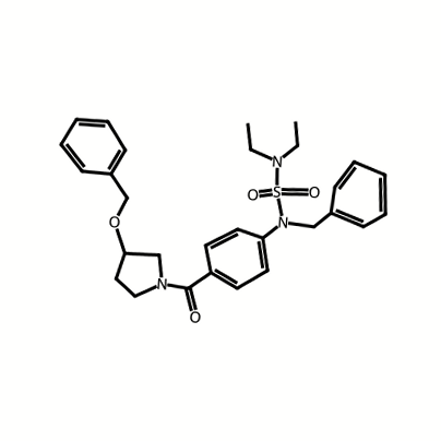 CCN(CC)S(=O)(=O)N(Cc1ccccc1)c1ccc(C(=O)N2CCC(OCc3ccccc3)C2)cc1